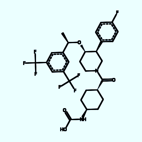 C[C@@H](O[C@H]1CCN(C(=O)[C@H]2CC[C@H](NC(=O)O)CC2)C[C@@H]1c1ccc(F)cc1)c1cc(C(F)(F)F)cc(C(F)(F)F)c1